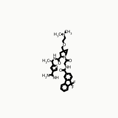 C[C@@H](NC(=O)C1CC2(COCCN(C)C)CC2N1C(=O)CNC(=O)c1ccc2c(c1)-c1ccccc1C2(F)F)c1cc(C(=N)N)cs1